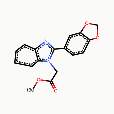 CC(C)(C)OC(=O)Cn1c(-c2ccc3c(c2)OCO3)nc2ccccc21